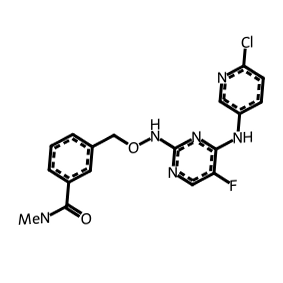 CNC(=O)c1cccc(CONc2ncc(F)c(Nc3ccc(Cl)nc3)n2)c1